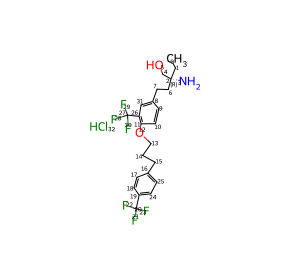 CC[C@](N)(CO)CCc1ccc(OCCCc2ccc(C(F)(F)F)cc2)c(C(F)(F)F)c1.Cl